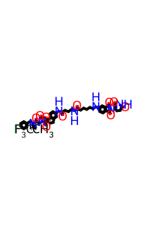 C[C@H](N(Cc1ccc(F)cc1)C(=O)CN1C(=O)O[C@@]2(CCc3cc(NC(=O)CCCNC(=O)CCCCCNc4ccc5c(c4)C(=O)N(C4CCC(=O)NC4=O)C5=O)ccc32)C1=O)C(F)(F)F